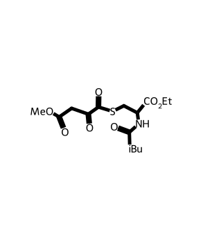 CCOC(=O)C(CSC(=O)C(=O)CC(=O)OC)NC(=O)C(C)CC